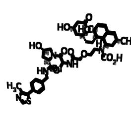 Cc1ncsc1-c1ccc(CNC(=O)[C@@H]2C[C@@H](O)CN2C(=O)C(NC(=O)COCCN(C(=O)O)[C@H]2C[C@@H](C)C=C3C=C[C@H](C)[C@H](CC[C@@H]4C[C@@H](O)CC(=O)O4)[C@H]32)C(C)(C)C)cc1